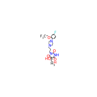 C[C@@]1(O)C(=O)N(CCCN2CCN(c3ccc(F)cc3OCC(F)(F)F)CC2)C(=O)N[C@H]1O